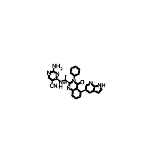 C[C@H](Nc1nc(N)ncc1C#N)c1nc2cccc(-c3cnc4[nH]ccc4c3)c2c(=O)n1-c1ccccc1